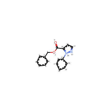 O=C(OCc1ccccc1)c1ccnn1-c1ccccc1